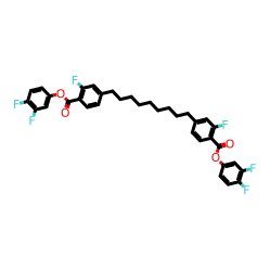 O=C(Oc1ccc(F)c(F)c1)c1ccc(CCCCCCCCCc2ccc(C(=O)Oc3ccc(F)c(F)c3)c(F)c2)cc1F